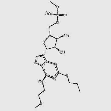 CCCSc1nc(NCCSC)c2ncn([C@@H]3O[C@H](COP(=O)(O)OC)[C@@H](O)[C@H]3O)c2n1